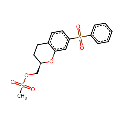 CS(=O)(=O)OC[C@H]1CCc2ccc(S(=O)(=O)c3ccccc3)cc2O1